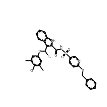 CCC(Oc1cc(C)c(Cl)c(C)c1)c1c(C(=O)NS(=O)(=O)c2ccc(OCc3ccccc3)nc2)[nH]c2ccccc12